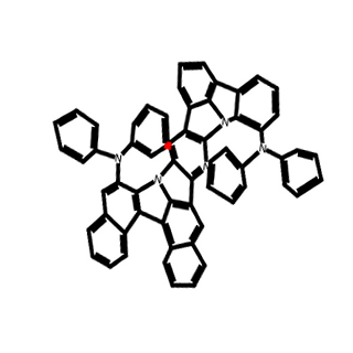 c1ccc(N(c2ccccc2)c2cc3ccccc3c3c4c5ccccc5cc5c6nc7c(cc6n(c23)c54)c2cccc3c4cccc(N(c5ccccc5)c5ccccc5)c4n7c23)cc1